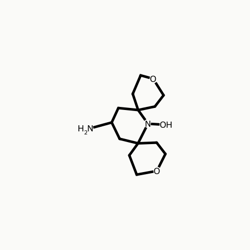 NC1CC2(CCOCC2)N(O)C2(CCOCC2)C1